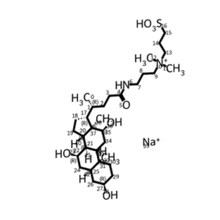 C[C@H](CCC(=O)NCCC[N+](C)(C)CCCS(=O)(=O)O)[C@H]1CC[C@H]2[C@@H]3[C@H](O)C[C@@H]4C[C@H](O)CC[C@]4(C)[C@H]3C[C@H](O)[C@]12C.[Na+]